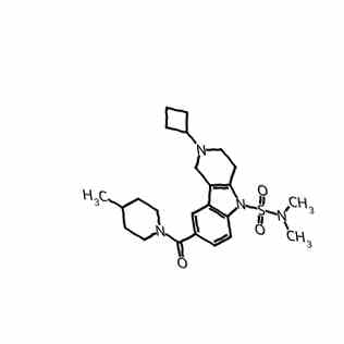 CC1CCN(C(=O)c2ccc3c(c2)c2c(n3S(=O)(=O)N(C)C)CCN(C3CCC3)C2)CC1